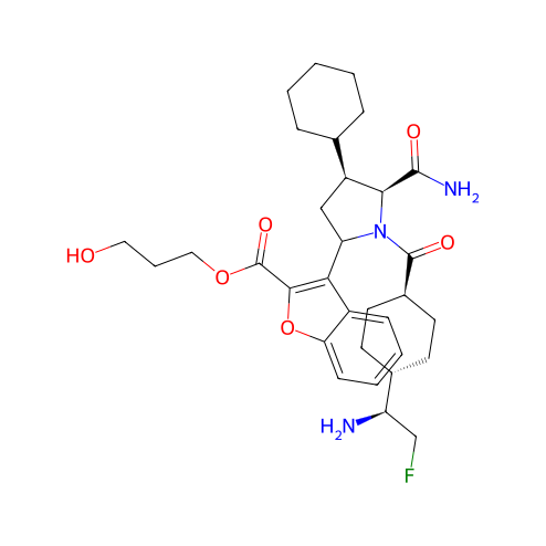 NC(=O)[C@@H]1[C@H](C2CCCCC2)CC(c2c(C(=O)OCCCO)oc3ccccc23)N1C(=O)[C@H]1CC[C@H]([C@H](N)CF)CC1